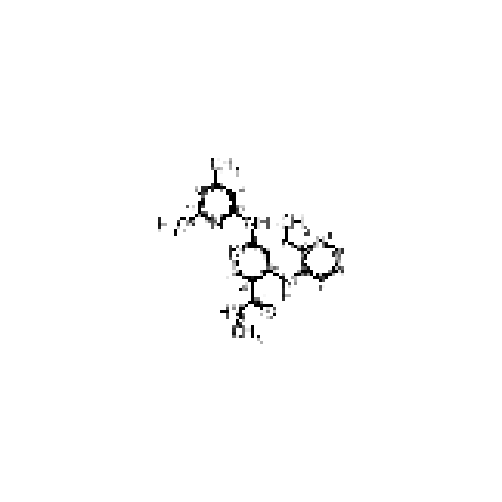 CCc1ncccc1Nc1cc(Nc2cc(C)nc(C)n2)ncc1C(=O)NC